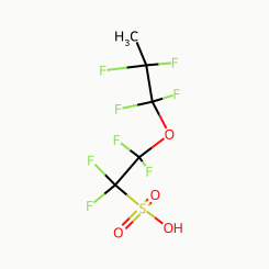 CC(F)(F)C(F)(F)OC(F)(F)C(F)(F)S(=O)(=O)O